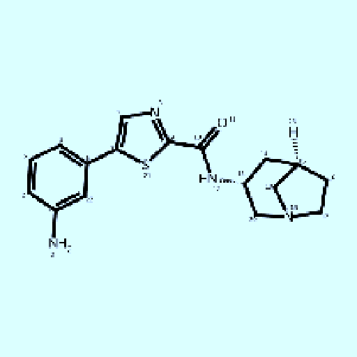 Nc1cccc(-c2cnc(C(=O)N[C@@H]3C[C@H]4CCN(C4)C3)s2)c1